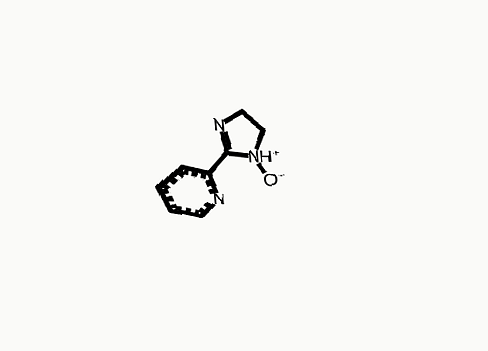 [O-][NH+]1CCN=C1c1ccccn1